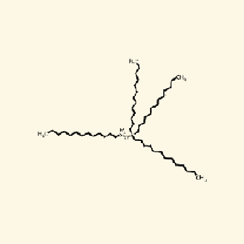 CCCCCCCCCCCCC[SiH2]O[Si](CCCCCCCCCCCCC)(CCCCCCCCCCCCC)CCCCCCCCCCCCC